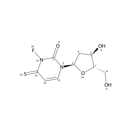 O=c1n([C@H]2C[C@@H](O)[C@H](CO)O2)ccc(=S)n1F